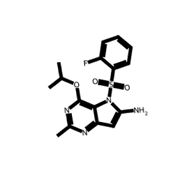 Cc1nc(OC(C)C)c2c(cc(N)n2S(=O)(=O)c2ccccc2F)n1